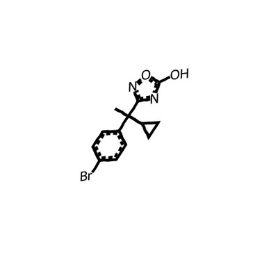 CC(c1ccc(Br)cc1)(c1noc(O)n1)C1CC1